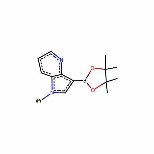 CC(C)n1cc(B2OC(C)(C)C(C)(C)O2)c2ncccc21